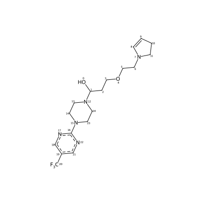 OC(CCOCCN1C=CCC1)N1CCN(c2ncc(C(F)(F)F)cn2)CC1